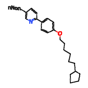 CCCCCCCCCc1ccc(-c2ccc(OCCCCCCC3CCCC3)cc2)nc1